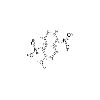 COc1ccc2c([N+](=O)[O-])cccc2c1[N+](=O)[O-]